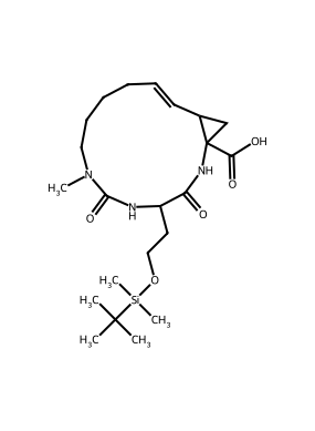 CN1CCCC/C=C/C2CC2(C(=O)O)NC(=O)C(CCO[Si](C)(C)C(C)(C)C)NC1=O